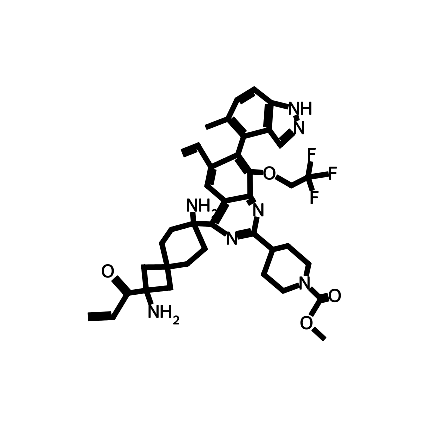 C=CC(=O)C1(N)CC2(CCC(N)(c3nc(C4CCN(C(=O)OC)CC4)nc4c(OCC(F)(F)F)c(-c5c(C)ccc6[nH]ncc56)c(C=C)cc34)CC2)C1